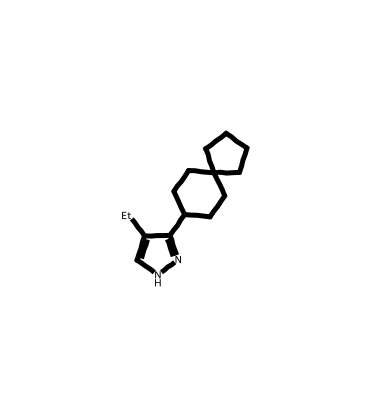 CCc1c[nH]nc1C1CCC2(CCCC2)CC1